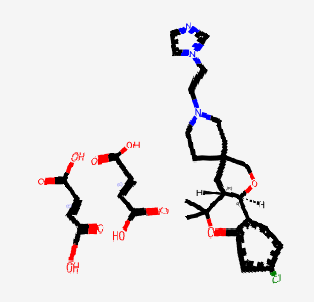 CC1(C)Oc2cc(Cl)ccc2[C@@H]2OCC3(CCN(CCn4ccnc4)CC3)C[C@H]21.O=C(O)/C=C/C(=O)O.O=C(O)/C=C/C(=O)O